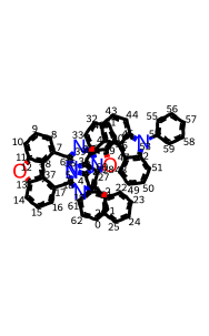 c1ccc(-c2nc(-c3cccc4oc5cccc(-c6nc(-c7ccccc7)c7oc8ccccc8c7n6)c5c34)nc(-c3cccc4c3c3ccccc3n4-c3ccccc3)n2)cc1